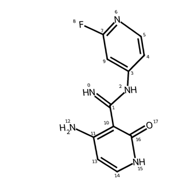 N=C(Nc1ccnc(F)c1)c1c(N)cc[nH]c1=O